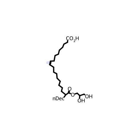 CCCCCCCCCCC(CCCCCCCC/C=C\CCCCCCCC(=O)O)C(=O)OCC(O)CO